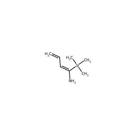 C=CC=C(N)[Si](C)(C)C